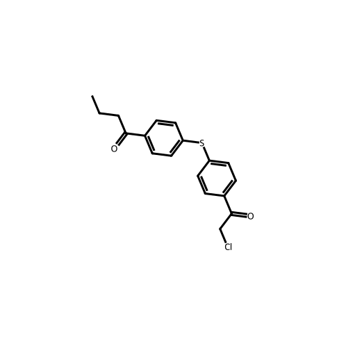 CCCC(=O)c1ccc(Sc2ccc(C(=O)CCl)cc2)cc1